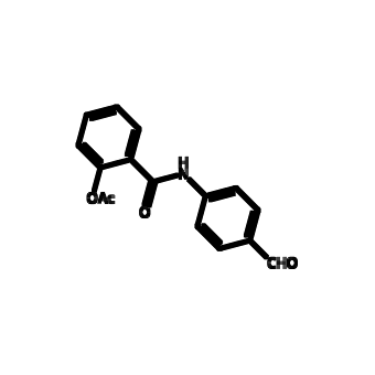 CC(=O)Oc1ccccc1C(=O)Nc1ccc(C=O)cc1